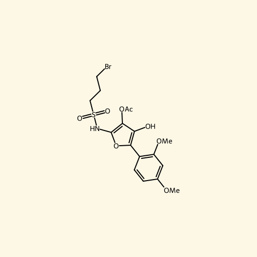 COc1ccc(-c2oc(NS(=O)(=O)CCCBr)c(OC(C)=O)c2O)c(OC)c1